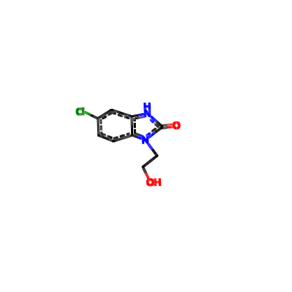 O=c1[nH]c2cc(Cl)ccc2n1CCO